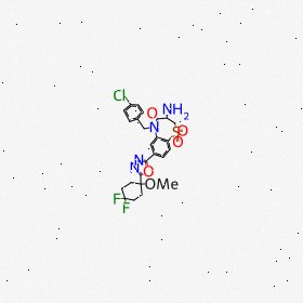 COC1(c2nnc(-c3ccc4c(c3)N(Cc3ccc(Cl)cc3)C(=O)[C@@H](N)CS4(=O)=O)o2)CCC(F)(F)CC1